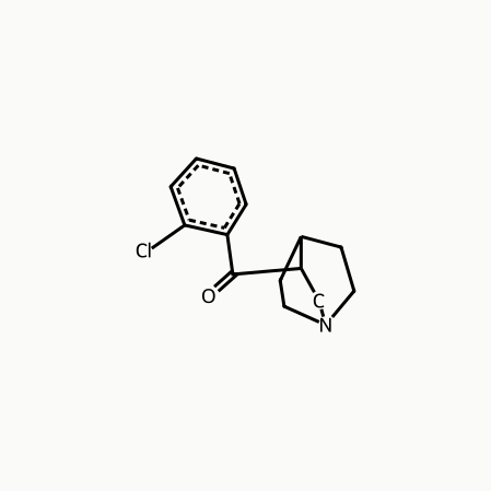 O=C(c1ccccc1Cl)C1CN2CCC1CC2